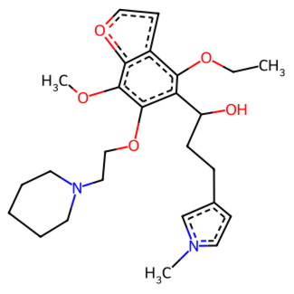 CCOc1c(C(O)CCc2ccn(C)c2)c(OCCN2CCCCC2)c(OC)c2occc12